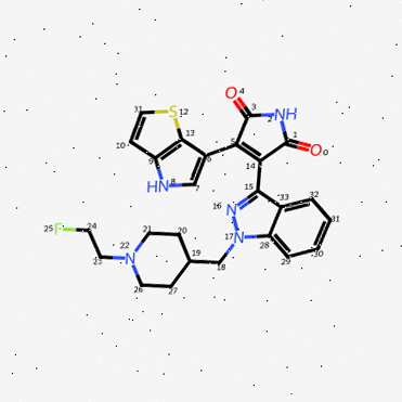 O=C1NC(=O)C(c2c[nH]c3ccsc23)=C1c1nn(CC2CCN(CCF)CC2)c2ccccc12